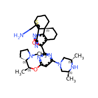 C[C@H](Oc1cc(N2C[C@H](C)N[C@@H](C)C2)nc(-c2onc3c2CCC[C@@]32CCCc3sc(N)c(C#N)c32)n1)[C@@H]1CCCN1C